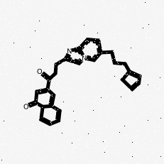 O=C(CCc1cn2cc(CCCC3=CC=CC3)ccc2n1)C1=CC(=O)C2C=CC=CC2=C1